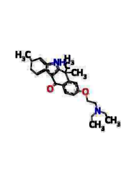 CCN(CC)CCOc1ccc2c(c1)C(C)(C)c1[nH]c3c(c1C2=O)=CCC(C)C=3